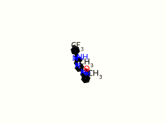 Cc1[nH]c(-c2ccc(C(F)(F)F)cc2)nc1CN1CCC(N2Cc3ccccc3N(C)C2=O)CC1